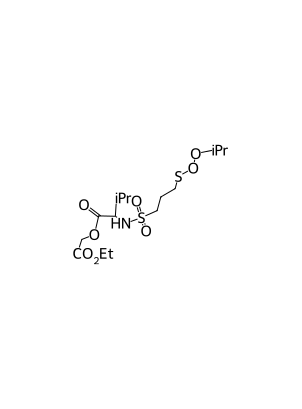 CCOC(=O)COC(=O)C(NS(=O)(=O)CCCSOOC(C)C)C(C)C